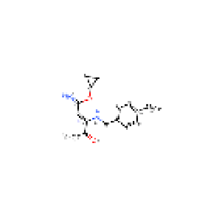 COC(=O)/C(=C/C(=N)OC1CC1)NCc1ccc(OC)cc1